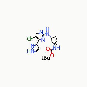 CC(C)(C)OC(=O)N[C@@H]1CCC(Nc2ncc(Cl)c(-c3cc[nH]n3)n2)C1